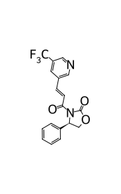 O=C(/C=C/c1cncc(C(F)(F)F)c1)N1C(=O)OC[C@H]1c1ccccc1